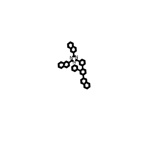 c1ccc(-c2cc(-c3ccc4ccccc4c3)ccc2-c2cccc(-c3nc(-c4ccc5ccccc5c4)nc(-c4ccc5ccccc5c4)n3)c2)cc1